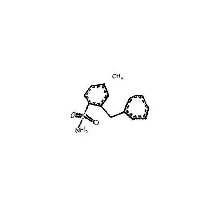 C.NS(=O)(=O)c1ccccc1Cc1ccccc1